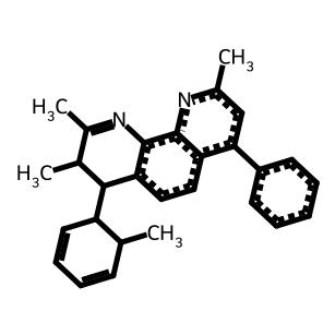 CC1=Nc2c(ccc3c(-c4ccccc4)cc(C)nc23)C(C2C=CC=CC2C)C1C